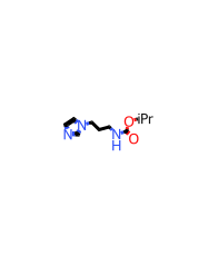 CC(C)OC(=O)NCCCn1ccnc1